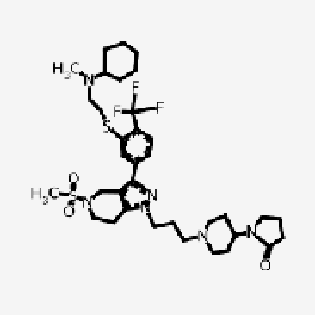 CN(CCSc1cc(-c2nn(CCCN3CCC(N4CCCC4=O)CC3)c3c2CN(S(C)(=O)=O)CC3)ccc1C(F)(F)F)C1CCCCC1